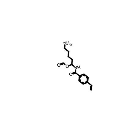 C=Cc1ccc(C(=O)NC(CCCCN)OC=O)cc1